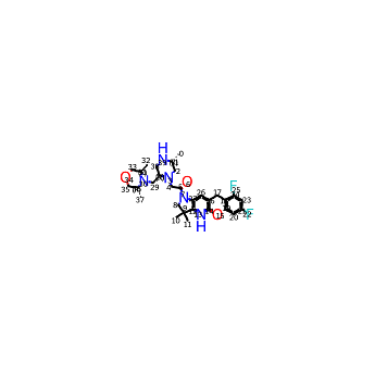 C[C@@H]1CN(CC(=O)N2CC(C)(C)c3[nH]c(=O)c(Cc4ccc(F)cc4F)cc32)[C@@H](CN2[C@H](C)COC[C@H]2C)CN1